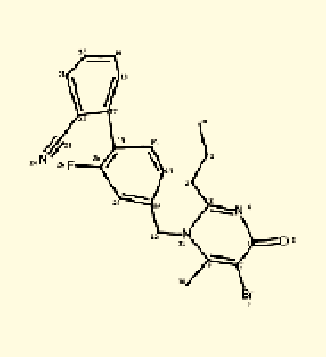 CCCc1nc(=O)c(Br)c(C)n1Cc1ccc(-c2ccccc2C#N)c(F)c1